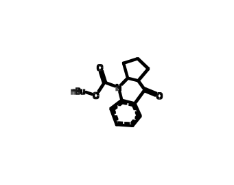 CCCCOC(=O)N1c2ccccc2C(=O)C2CCCC21